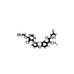 CC(C(=O)NCC(F)F)c1ccc(O[C@@H]2CCN(c3ncnc(OCC(C)(C)C)c3Cl)C2)cc1